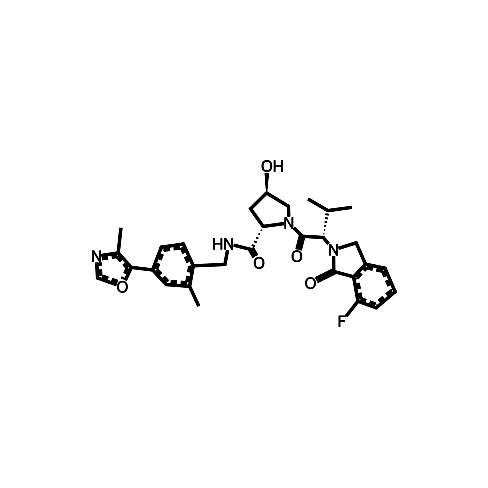 Cc1cc(-c2ocnc2C)ccc1CNC(=O)[C@@H]1C[C@@H](O)CN1C(=O)[C@H](C(C)C)N1Cc2cccc(F)c2C1=O